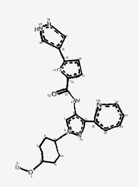 CCOC1CCC(n2cc(NC(=O)c3ccc(-c4cn[nH]c4)o3)c(-c3ccccn3)n2)CC1